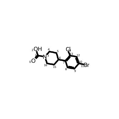 O=C(O)N1CCC(c2ccc(Br)cc2Cl)CC1